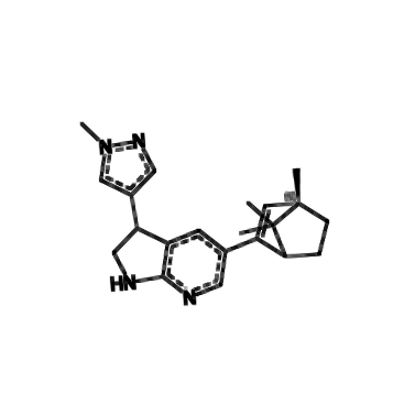 Cn1cc(C2CNc3ncc(C4=C[C@]5(C)CCC4C5(C)C)cc32)cn1